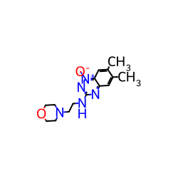 Cc1cc2nc(NCCN3CCOCC3)n[n+]([O-])c2cc1C